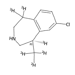 [2H]C1([2H])CNC[C@]([2H])(C([2H])([2H])[2H])c2cc(Cl)ccc21